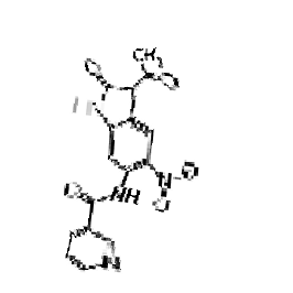 CC(=O)C1C(=O)Nc2cc(NC(=O)c3cccnc3)c([N+](=O)[O-])cc21